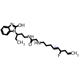 C=CCC(F)/C=C/CCCNCC(=O)NCCC(CC)n1c(O)nc2ccccc21